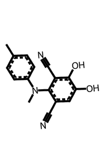 Cc1ccc(N(C)c2c(C#N)cc(O)c(O)c2C#N)cc1